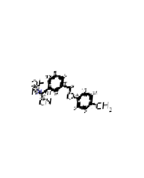 Cc1ccc(OCc2cccc(/C(C#N)=N\O)c2)cc1